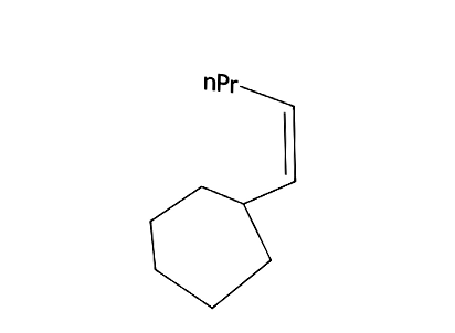 CCC/C=C\C1CCCCC1